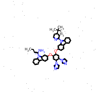 CC/C=C(\N)n1c2ccccc2c2ccc(Oc3cc(-n4ccnc4)c(-n4ccnc4)cc3Oc3ccc4c5ccccc5n(-c5cc(C(C)(C)C)ccn5)c4c3)cc21